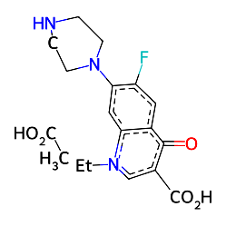 CC(=O)O.CCn1cc(C(=O)O)c(=O)c2cc(F)c(N3CCNCC3)cc21